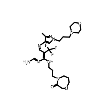 Cc1nn(CCCN2CCOCC2)cc1\N=C/C(=C(\N=C\N)NCCCN1CCCOCC1=O)C(F)(F)F